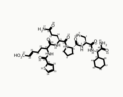 CC(C)C[C@H](NC(=O)[C@@H]1CCCN1C(=O)[C@H](CCC(N)=O)NC(=O)C(CCC=CC(=O)O)NC(=O)c1cccs1)C(=O)N[C@H](C(N)=O)C1CCCCC1